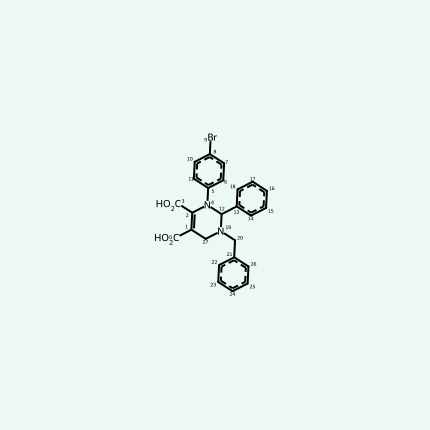 O=C(O)C1=C(C(=O)O)N(c2ccc(Br)cc2)C(c2ccccc2)N(Cc2ccccc2)C1